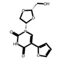 O=c1[nH]c(=O)n([C@@H]2CO[C@H](CO)O2)cc1-c1ccco1